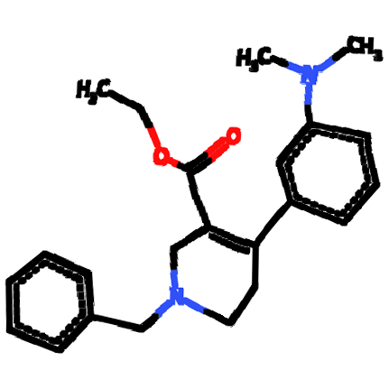 CCOC(=O)C1=C(c2cccc(N(C)C)c2)CCN(Cc2ccccc2)C1